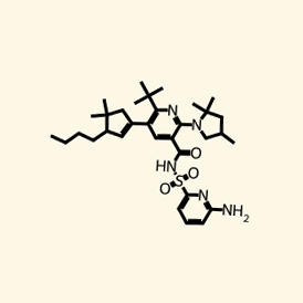 CCCCC1C=C(c2cc(C(=O)NS(=O)(=O)c3cccc(N)n3)c(N3CC(C)CC3(C)C)nc2C(C)(C)C)CC1(C)C